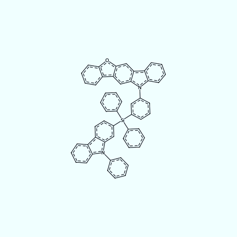 c1ccc(-n2c3ccccc3c3ccc([Si](c4ccccc4)(c4ccccc4)c4cccc(-n5c6ccccc6c6cc7oc8ccccc8c7cc65)c4)cc32)cc1